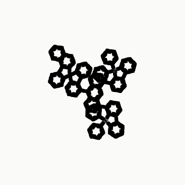 c1ccc([Si]2(c3ccccc3)c3ccccc3-c3cccc(-c4cccc5c(-c6cccc7c6-c6ccccc6C76c7ccccc7-c7c6ccc6ccccc76)c6cccc(-c7cccc8c7[Si](c7ccccc7)(c7ccccc7)c7ccccc7-8)c6cc45)c32)cc1